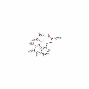 COC(=O)CCc1cccc(NC(=O)OC(C)(C)C)c1CCC(=O)OC